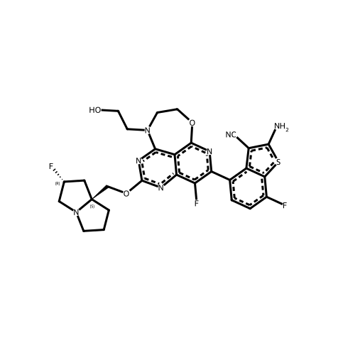 N#Cc1c(N)sc2c(F)ccc(-c3nc4c5c(nc(OC[C@@]67CCCN6C[C@H](F)C7)nc5c3F)N(CCO)CCO4)c12